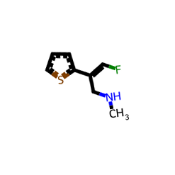 CNCC(=CF)c1cccs1